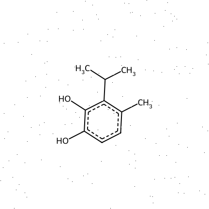 Cc1ccc(O)c(O)c1C(C)C